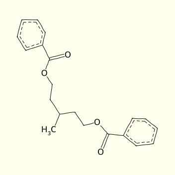 CC(CCOC(=O)c1ccccc1)CCOC(=O)c1ccccc1